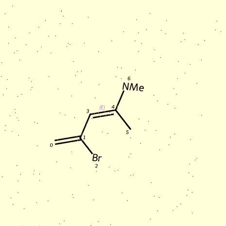 C=C(Br)/C=C(\C)NC